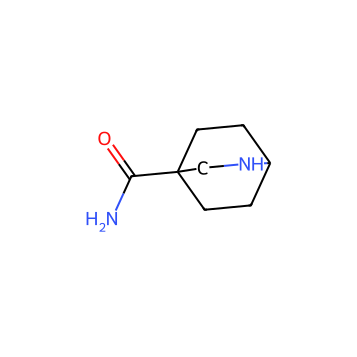 NC(=O)C12CCC(CC1)NC2